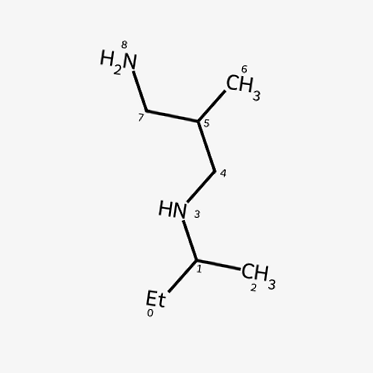 CCC(C)NCC(C)CN